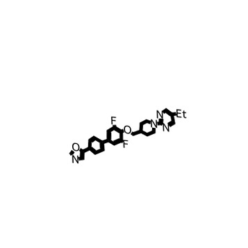 CCc1cnc(N2CCC(COc3c(F)cc(-c4ccc(-c5cnco5)cc4)cc3F)CC2)nc1